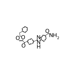 NC(=O)c1ccc2[nH]c(-c3ccc(C(=O)C4=COC(Cc5ccccc5)O4)cc3)nc2c1